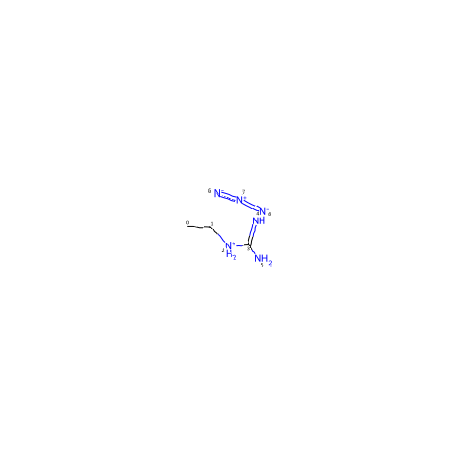 CC[NH2+]C(=N)N.[N-]=[N+]=[N-]